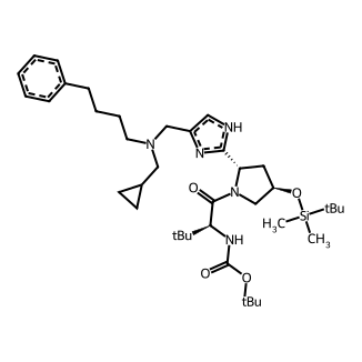 CC(C)(C)OC(=O)N[C@H](C(=O)N1C[C@H](O[Si](C)(C)C(C)(C)C)C[C@H]1c1nc(CN(CCCCc2ccccc2)CC2CC2)c[nH]1)C(C)(C)C